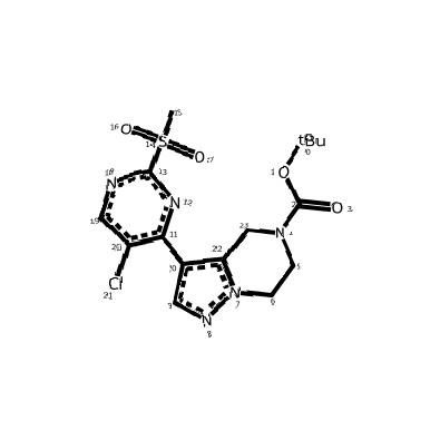 CC(C)(C)OC(=O)N1CCn2ncc(-c3nc(S(C)(=O)=O)ncc3Cl)c2C1